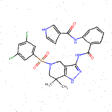 CC1(C)CN(S(=O)(=O)c2cc(F)cc(F)c2)Cc2c(NC(=O)c3ccccc3NC(=O)c3cc[nH]c3)n[nH]c21